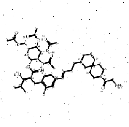 CC(=O)OC[C@H]1O[C@@H](OC(=N)/C(Cc2ccc(/C=C/CCN3CCCC4(CCN(C(=O)CN)CC4)C3)cc2C)=C(\N)C(C)C)[C@H](OC(C)=O)[C@@H](OC(C)=O)[C@@H]1OC(C)=O